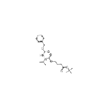 CC(C)[C@H](NC(=O)OCc1ccccc1)C(=O)OCCCC(=O)OC(C)(C)C